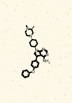 C[C@H]1CN([C@H]2CC[C@H](n3cc(-c4ccc(Oc5ccccc5)cc4)c4c(N)ncnc43)CC2)CCN1C